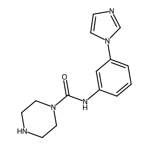 O=C(Nc1cccc(-n2ccnc2)c1)N1CCNCC1